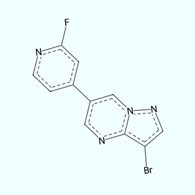 Fc1cc(-c2cnc3c(Br)cnn3c2)ccn1